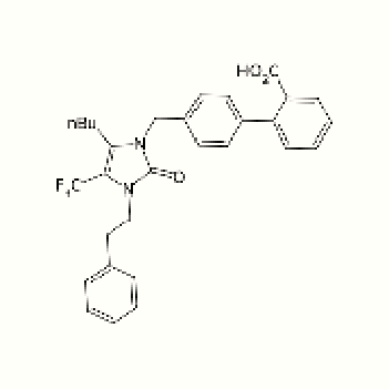 CCCCc1c(C(F)(F)F)n(CCc2ccccc2)c(=O)n1Cc1ccc(-c2ccccc2C(=O)O)cc1